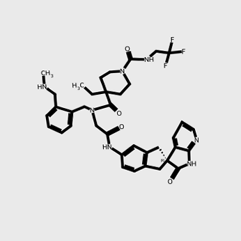 CCC1(C(=O)N(CC(=O)Nc2ccc3c(c2)C[C@@]2(C3)C(=O)Nc3ncccc32)Cc2ccccc2CNC)CCN(C(=O)NCC(F)(F)F)CC1